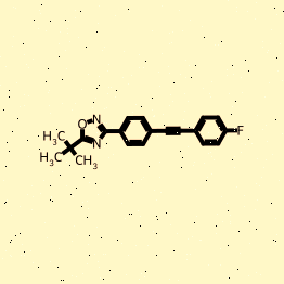 CC(C)(C)c1nc(-c2ccc(C#Cc3ccc(F)cc3)cc2)no1